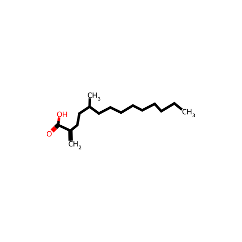 C=C(CCC(C)CCCCCCCCC)C(=O)O